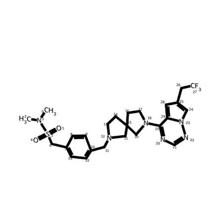 CN(C)S(=O)(=O)Cc1ccc(CN2CCC3(CCN(c4ncnn5cc(CC(F)(F)F)cc45)C3)C2)cc1